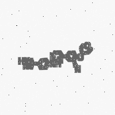 N#Cc1cc(-c2ccnc(Nc3ccc(-c4cn[nH]c4)cc3)n2)ccc1OC1CCOCC1